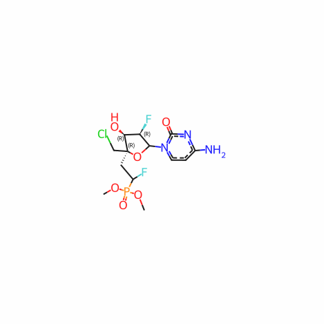 COP(=O)(OC)C(F)C[C@@]1(CCl)OC(n2ccc(N)nc2=O)[C@H](F)[C@@H]1O